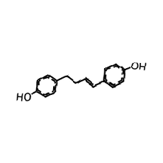 Oc1ccc(/C=C/CCc2ccc(O)cc2)cc1